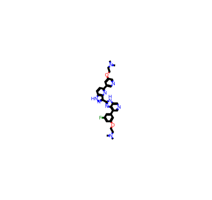 CN(C)CCOc1cncc(-c2ccc3[nH]nc(-c4nc5c(-c6cc(F)cc(OCCN(C)C)c6)cncc5[nH]4)c3n2)c1